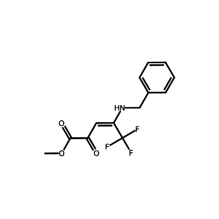 COC(=O)C(=O)C=C(NCc1ccccc1)C(F)(F)F